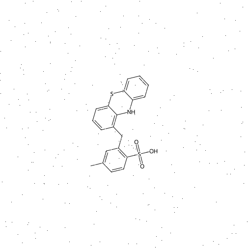 Cc1ccc(S(=O)(=O)O)c(Cc2cccc3c2Nc2ccccc2S3)c1